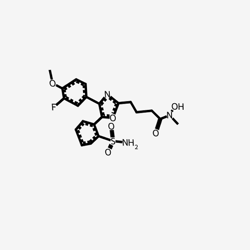 COc1ccc(-c2nc(CCCC(=O)N(C)O)oc2-c2ccccc2S(N)(=O)=O)cc1F